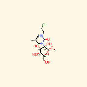 CO[C@H]1O[C@H](CO)[C@@H](O)[C@H](O)[C@@]1(O)N(CC(C)C)C(=O)NCCCl